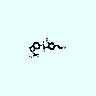 Cc1cc(C=CC(F)(F)F)ccc1C(=O)Nc1ccc2c(c1)N(C(=O)C(C)(C)C)CC2